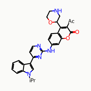 CC(=O)c1c(C2CNCCO2)c2ccc(Nc3nccc(-c4cn(C(C)C)c5ccccc45)n3)cc2oc1=O